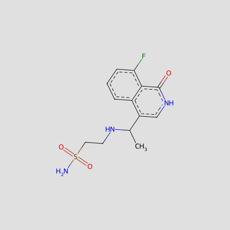 CC(NCCS(N)(=O)=O)c1c[nH]c(=O)c2c(F)cccc12